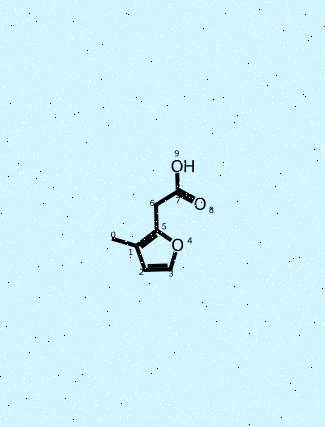 Cc1ccoc1CC(=O)O